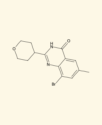 Cc1cc(Br)c2nc(C3CCOCC3)[nH]c(=O)c2c1